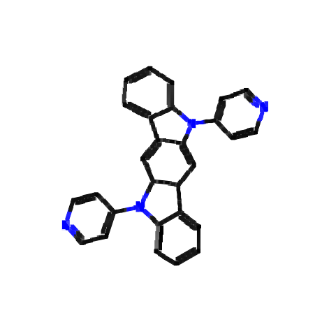 C1=c2c(n(-c3ccncc3)c3ccccc23)=CC2c3ccccc3N(c3ccncc3)C12